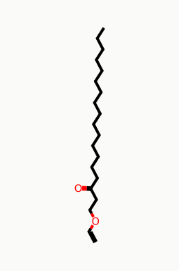 C=COCCC(=O)CCCCCCCCCCCCCCC